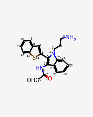 NCCCn1c(-c2cc3ccccc3s2)c(NC(=O)C=O)c2ccccc21